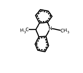 CC1c2ccccc2N(C)c2ccccc21